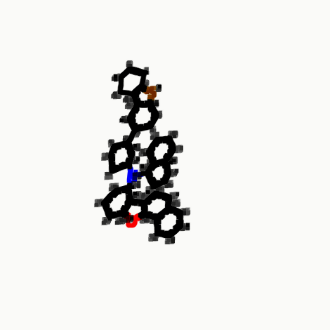 C1=Cc2sc3ccc(-c4cccc(N(c5cccc6ccccc56)c5cccc6oc7c8ccccc8ccc7c56)c4)cc3c2CC1